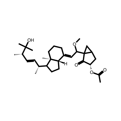 COC(/C=C1\CCC[C@]2(C)C([C@H](C)/C=C/[C@H](C)C(C)(C)O)CC[C@@H]12)C12CC1C[C@H](OC(C)=O)C2=O